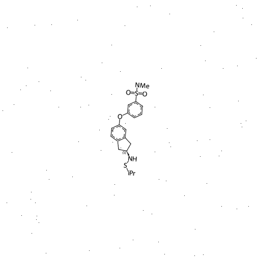 CNS(=O)(=O)c1cccc(Oc2ccc3c(c2)C[C@@H](NSC(C)C)C3)c1